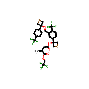 C=C(CC(=O)OC1(c2ccc(C(F)(F)F)c(COC3(c4ccc(C(F)(F)F)cc4)CSC3)c2)CSC1)C(=O)OCC(Cl)(Cl)Cl